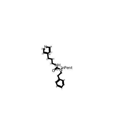 CCCCCN(CCc1ccccc1)C(=O)NCCCc1ccncc1